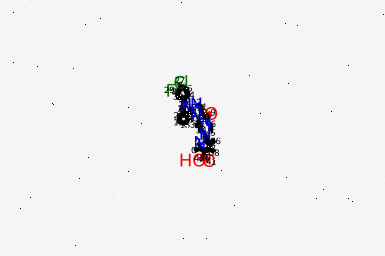 Cc1nc(N2CCN(C(=O)c3cnc4c(n3)C3(CCCC3)CN4c3ccc(Cl)c(F)c3)C(C)(C)C2)c(C)c(C)c1C(=O)O